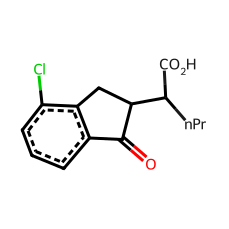 CCCC(C(=O)O)C1Cc2c(Cl)cccc2C1=O